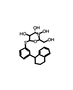 OCC1OC(Sc2cccc(C3CCCc4ccccc43)c2)C(O)[C@H](O)N1O